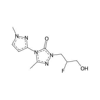 Cc1nn(CC(F)CO)c(=O)n1-c1ccn(C)n1